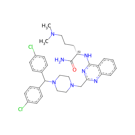 CN(C)CCC[C@H](Nc1nc(CN2CCN(C(c3ccc(Cl)cc3)c3ccc(Cl)cc3)CC2)nc2ccccc12)C(N)=O